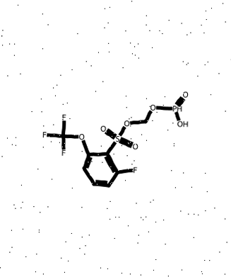 O=[PH](O)OCOS(=O)(=O)c1c(F)cccc1OC(F)(F)F